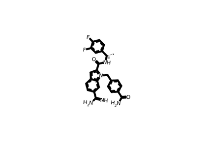 C[C@H](NC(=O)c1cc2ccc(C(=N)N)cc2n1Cc1ccc(C(N)=O)cc1)c1ccc(F)c(F)c1